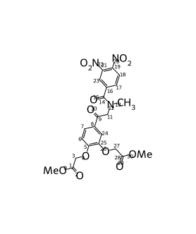 COC(=O)COc1ccc(C(=O)CN(C)C(=O)c2ccc([N+](=O)[O-])c([N+](=O)[O-])c2)cc1OCC(=O)OC